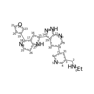 CCNCc1cncc(-c2cnc3[nH]nc(-c4cc5c(-c6ccoc6)nccc5[nH]4)c3c2)c1